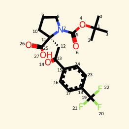 CC(C)(C)OC(=O)N1CCC[C@]1(CC(=O)c1ccc(C(F)(F)F)cc1)C(=O)O